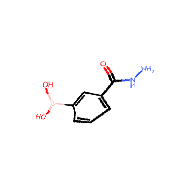 NNC(=O)c1cccc(B(O)O)c1